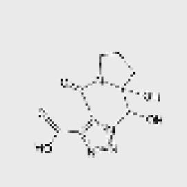 O=C(O)c1nnn2c1C(=O)N1CCCC1(O)C2O